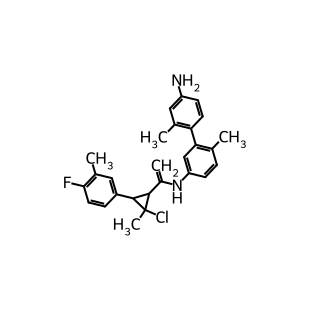 C=C(Nc1ccc(C)c(-c2ccc(N)cc2C)c1)C1C(c2ccc(F)c(C)c2)C1(C)Cl